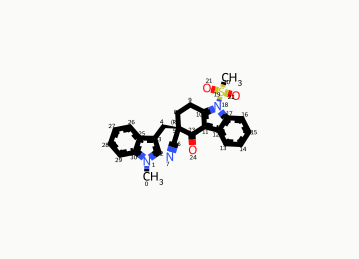 Cn1cc(C[C@@]2(C#N)CCc3c(c4ccccc4n3S(C)(=O)=O)C2=O)c2ccccc21